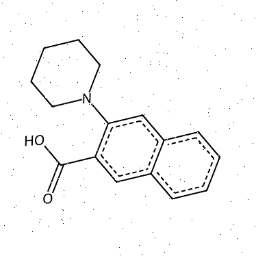 O=C(O)c1cc2ccccc2cc1N1CCCCC1